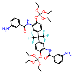 CCO[Si](OCC)(OCC)Oc1ccc(C(c2ccc(O[Si](OCC)(OCC)OCC)c(NC(=O)c3cccc(N)c3)c2)(C(F)(F)F)C(F)(F)F)cc1NC(=O)c1cccc(N)c1